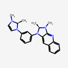 C[C@@H]1N(C)C=CN1c1cccc(N2c3cc4ccccc4nc3N(C)[C@@H]2C)c1